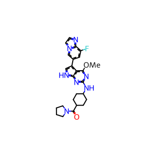 COc1nc(NC2CCC(C(=O)N3CCCC3)CC2)nc2[nH]cc(-c3cc(F)c4nccn4c3)c12